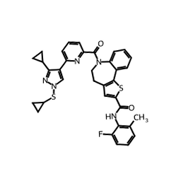 Cc1cccc(F)c1NC(=O)c1cc2c(s1)-c1ccccc1N(C(=O)c1cccc(-c3cn(SC4CC4)nc3C3CC3)n1)CC2